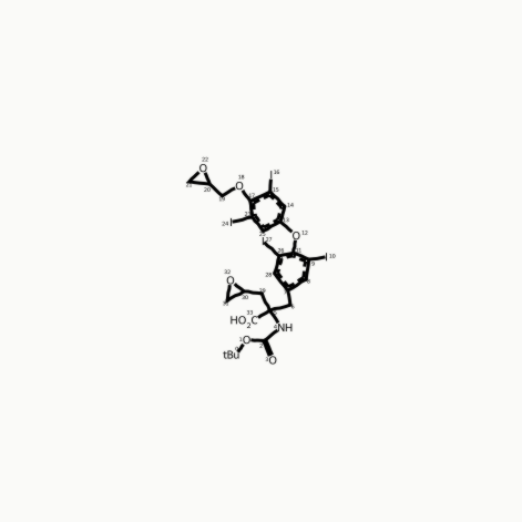 CC(C)(C)OC(=O)NC(Cc1cc(I)c(Oc2cc(I)c(OCC3CO3)c(I)c2)c(I)c1)(CC1CO1)C(=O)O